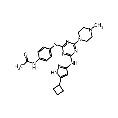 CC(=O)Nc1ccc(Sc2nc(Nc3cc(C4CCC4)[nH]n3)nc(N3CCN(C)CC3)n2)cc1